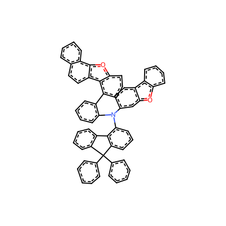 c1ccc(C2(c3ccccc3)c3ccccc3-c3c(N(c4ccc5c(c4)oc4ccccc45)c4ccccc4-c4cccc5oc6c7ccccc7ccc6c45)cccc32)cc1